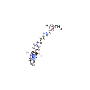 CC(C)OCCNCCCCCCN1CCC(c2cnc(N3C4CCC3CN(C(C)C)C4)nc2)CC1